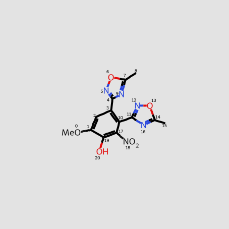 COc1cc(-c2noc(C)n2)c(-c2noc(C)n2)c([N+](=O)[O-])c1O